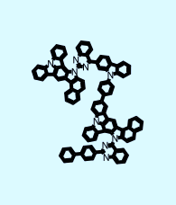 c1ccc(-c2ccc(-c3nc(-n4c5ccc6ccccc6c5c5cc6c7cc(-c8ccc(-n9c%10ccccc%10c%10ccc(-c%11nc(-n%12c%13ccc%14ccccc%14c%13c%13cc%14c%15ccccc%15n%15c%16ccccc%16c(c%13%12)c%14%15)nc%12ccccc%11%12)cc%109)cc8)ccc7n7c8ccccc8c(c54)c67)c4ccccc4n3)cc2)cc1